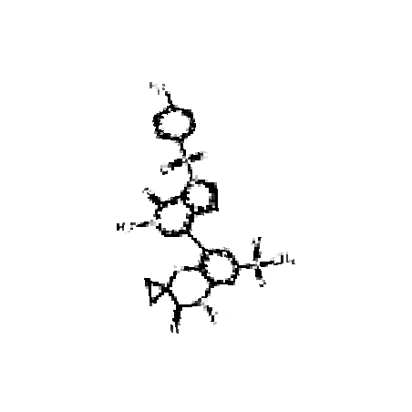 Cc1ccc(S(=O)(=O)n2ccc3c(-c4cc(S(C)(=O)=O)cc5c4OC4(CC4)C(=O)N5C)cn(C)c(=O)c32)cc1